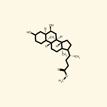 COC(=O)CC[C@@H](C)C1CC[C@H]2[C@@H]3C[C@H](O)[C@@H]4CC(O)CC[C@]4(C)[C@H]3CC[C@]12C